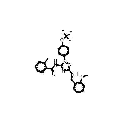 COc1ccccc1CNc1nc(NC(=O)c2ccccc2C)n(-c2ccc(OC(F)(F)F)cc2)n1